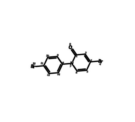 O=c1cc(Br)ccn1-c1ccc(Br)cc1